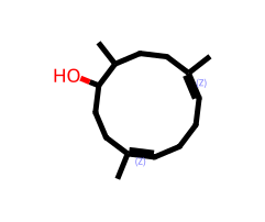 C/C1=C/CC/C=C(/C)CCC(O)C(C)CC1